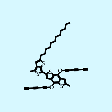 C#CC#CC#COc1c2cc(-c3sc(C)c4cc(CCCCCCCCCCCC)sc34)sc2c(OC#CC#CC#C)c2cc(C)sc12